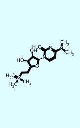 C=C1N=C(N(C)C)C=CN1[C@@H]1OC(CCP(=C)(C)C)[C@@H](O)[C@H]1O